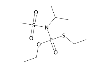 CCOP(=O)(SCC)N(C(C)C)S(C)(=O)=O